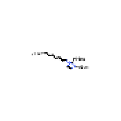 CCCCCCCCCCCCCCCCCN1C=CN(CCCCCCCCC)C1CCCCCC